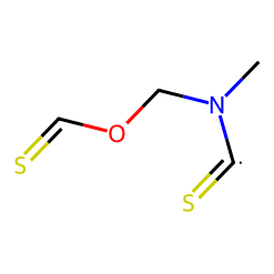 CN([C]=S)COC=S